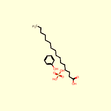 CCCCCCCCCCCCCCCC(=O)O.O=S(=O)(O)O.Oc1ccccc1